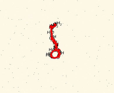 CO[C@H]1C[C@@H]2CC[C@@H](C)[C@@](O)(O2)C(=O)C(=O)N2CCCC[C@H]2C(=O)O[C@H]([C@H](N)C[C@@H]2CC[C@H](n3cc(-c4cnc(N5CCN(c6ncc(C(=O)NCCOCCC(=O)NCCCCn7nc(-c8ccc9oc(N)nc9c8)c8c(N)ncnc87)cn6)CC5)nc4)nn3)[C@H](OC)C2)CC(=O)[C@H](C)/C=C(\C)[C@@H](O)[C@@H](O)C(=O)[C@H](C)C[C@H](C)/C=C/C=C/C=C/1C